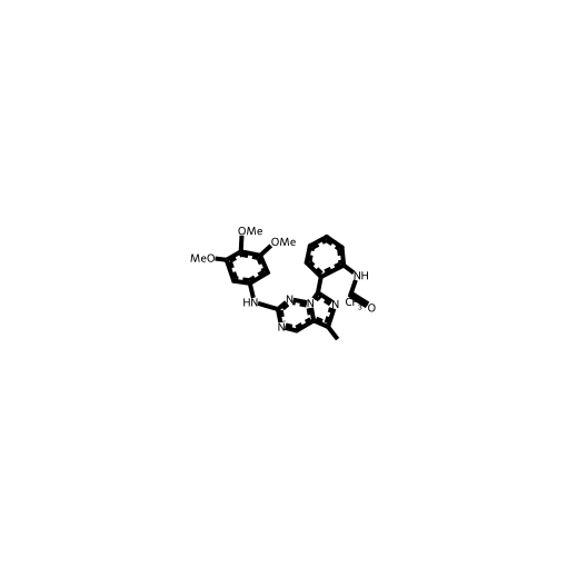 COc1cc(Nc2ncc3c(C)nc(-c4ccccc4NC(=O)C(F)(F)F)n3n2)cc(OC)c1OC